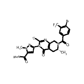 CNC(=O)c1cc(-n2c(Cl)nc3c(c2=O)C[C@@H](C)N(C(=O)c2ccc(Br)c(C(F)(F)F)c2)C3)nn1C